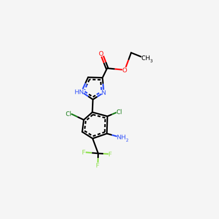 CCOC(=O)c1c[nH]c(-c2c(Cl)cc(C(F)(F)F)c(N)c2Cl)n1